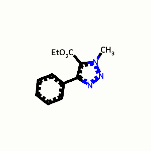 CCOC(=O)c1c(-c2ccccc2)nnn1C